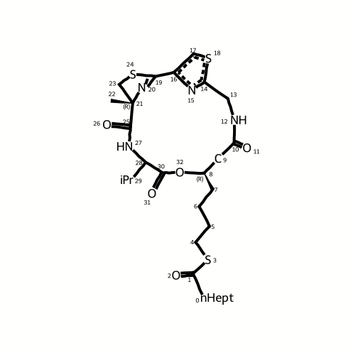 CCCCCCCC(=O)SCCCC[C@@H]1CC(=O)NCc2nc(cs2)C2=N[C@@](C)(CS2)C(=O)NC(C(C)C)C(=O)O1